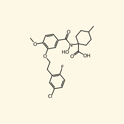 COc1ccc(C(=O)N(O)C2(C(=O)O)CCC(C)CC2)cc1OCCc1cc(Cl)ccc1F